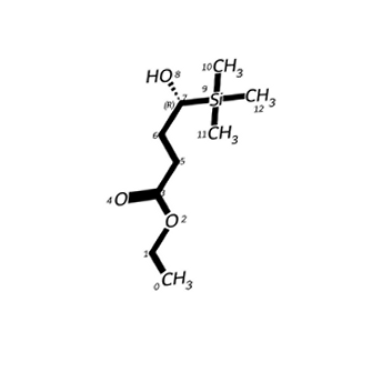 CCOC(=O)CC[C@H](O)[Si](C)(C)C